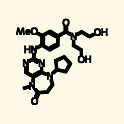 COc1cc(C(=O)N(CCO)CCO)ccc1Nc1ncc2c(n1)N(C1CCCC1)CCC(=O)N2C